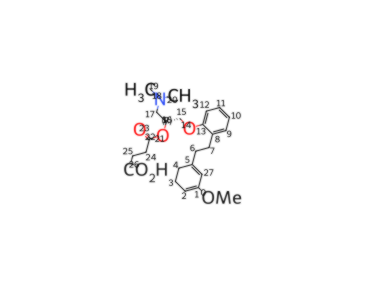 COC1=CCCC(CCc2ccccc2OC[C@@H](CN(C)C)OC(=O)CCC(=O)O)=C1